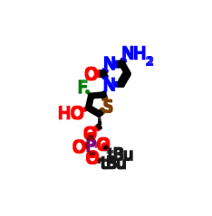 CC(C)(C)OP(=O)(OC[C@H]1S[C@@H](n2ccc(N)nc2=O)[C@@H](F)[C@@H]1O)OC(C)(C)C